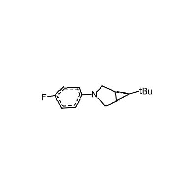 CC(C)(C)C1C2CN(c3ccc(F)cc3)CC21